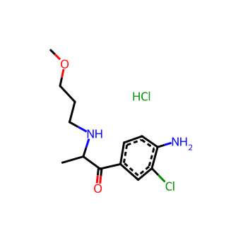 COCCCNC(C)C(=O)c1ccc(N)c(Cl)c1.Cl